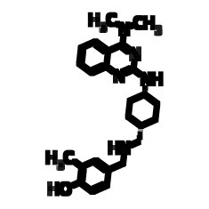 Cc1cc(CNC[C@H]2CC[C@@H](Nc3nc(N(C)C)c4ccccc4n3)CC2)ccc1O